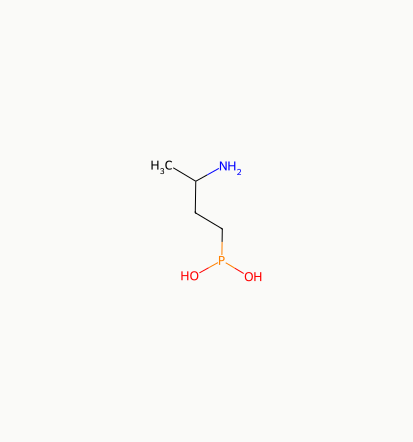 CC(N)CCP(O)O